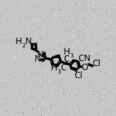 CC(C)(c1ccc(-c2cnn(C3CC(N)C3)c2)cc1)c1cc(Cl)c(OCCCl)c(C#N)c1